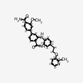 COc1cc(-c2ccc3c(c2)Nc2ccc(CCOc4cccnc4C)cc2NC3=O)ccc1C(N)=O